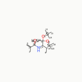 C=C(C)C(=O)NC(CC)C([SiH3])(O[Si](C)(C)C)O[Si](C)(C)C